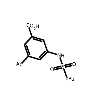 CCCCS(=O)(=O)Nc1cc(C(C)=O)cc(C(=O)O)c1